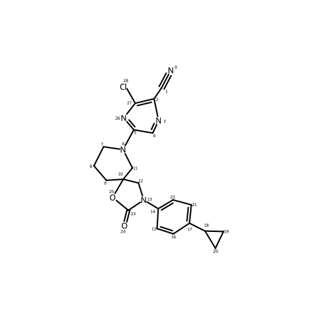 N#Cc1ncc(N2CCCC3(C2)CN(c2ccc(C4CC4)cc2)C(=O)O3)nc1Cl